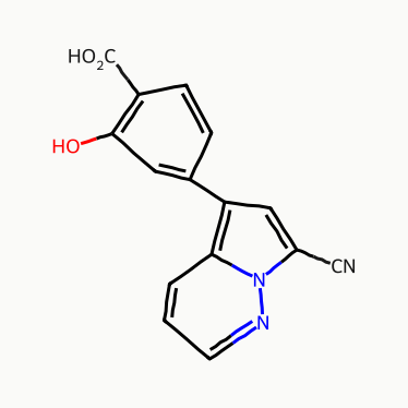 N#Cc1cc(-c2ccc(C(=O)O)c(O)c2)c2cccnn12